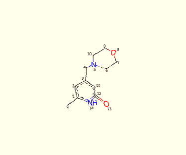 Cc1cc(CN2CCOCC2)cc(=O)[nH]1